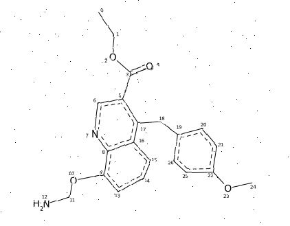 CCOC(=O)c1cnc2c(OCN)cccc2c1Cc1ccc(OC)cc1